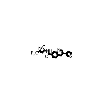 Cn1nc(C(F)(F)F)cc1NC(=O)c1ccc2cc(-c3ccsc3)cnc2c1